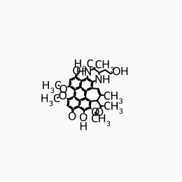 COc1c(O)c2c(=O)cc(OC)c3c4c(OC)cc(=O)c5c6c(c7c(c(c1C(C(C)=O)C(C)=C7)c23)c54)NC(CCO)C(C)(C)N6